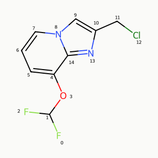 FC(F)Oc1cccn2cc(CCl)nc12